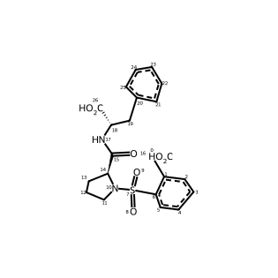 O=C(O)c1ccccc1S(=O)(=O)N1CCC[C@H]1C(=O)N[C@@H](Cc1ccccc1)C(=O)O